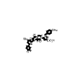 COc1ccc(Cn2nc(C(=O)O)cc2N2CCN(C(=O)c3cc4nc(-c5ccc(Cl)c(F)c5)cc(C(C)(C)C)c4o3)C(C)(C)C2=O)cc1